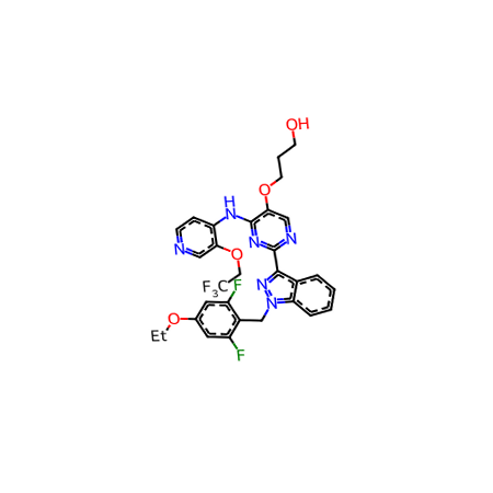 CCOc1cc(F)c(Cn2nc(-c3ncc(OCCCO)c(Nc4ccncc4OCC(F)(F)F)n3)c3ccccc32)c(F)c1